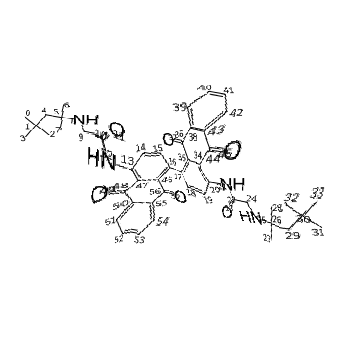 CC(C)(C)CC(C)(C)NCC(=O)Nc1ccc(-c2ccc(NC(=O)CNC(C)(C)CC(C)(C)C)c3c2C(=O)c2ccccc2C3=O)c2c1C(=O)c1ccccc1C2=O